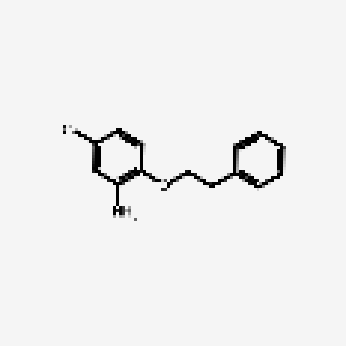 Nc1cc(Cl)ccc1OCCc1ccccc1